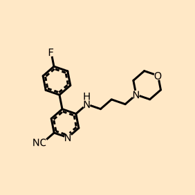 N#Cc1cc(-c2ccc(F)cc2)c(NCCCN2CCOCC2)cn1